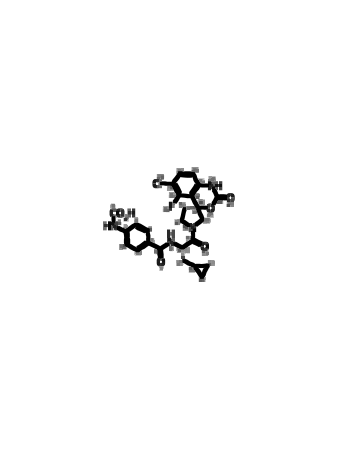 O=C(O)Nc1ccc(C(=O)N[C@@H](CC2CC2)C(=O)N2CC[C@@]3(C2)OC(=O)Nc2ccc(Cl)c(F)c23)cc1